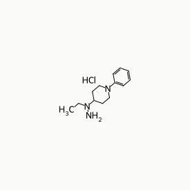 CCN(N)C1CCN(c2ccccc2)CC1.Cl